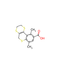 Cc1cc(C(=O)O)c(C)c2c1SCC1=C2SCCS1